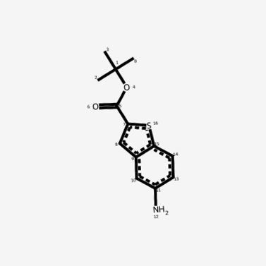 CC(C)(C)OC(=O)c1cc2cc(N)ccc2s1